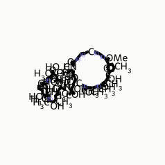 COC1/C=C/C=C/CC/C=C/C=C/C(=O)NC(C(O)C(=O)O)C(=O)OC(C(C)C(O)C(NC(=O)C(C)C(C)CCC(C)C(O)/C(C)=C/C(C)(C)C(O)C(CC(C)C)NC(=O)/C=C/C(C)(C)C(=O)C(C)C(O)C(C)C)C(C)O)C/C=C(\C)C(O)C(C)/C=C(\C)C(O)C(C)C(O)CC2CC(C)CC1O2